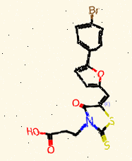 O=C(O)CCN1C(=O)/C(=C\c2ccc(-c3ccc(Br)cc3)o2)SC1=S